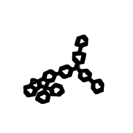 c1ccc(-c2ccc(N(c3ccc(-c4ccccc4)cc3)c3ccc(-c4ccc5c(c4)C(c4ccccc4)(c4ccccc4)c4c-5oc5ccccc45)cc3)cc2)cc1